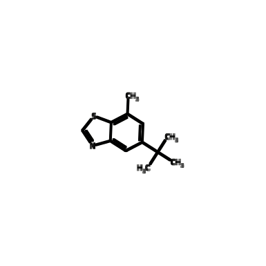 Cc1cc(C(C)(C)C)cc2ncsc12